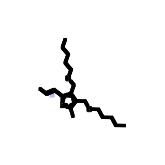 C/C=C/c1sc(C)c(COCCCCC)c1COCCCCC